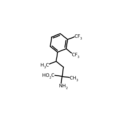 CC(CC(C)(N)C(=O)O)c1cccc(C(F)(F)F)c1C(F)(F)F